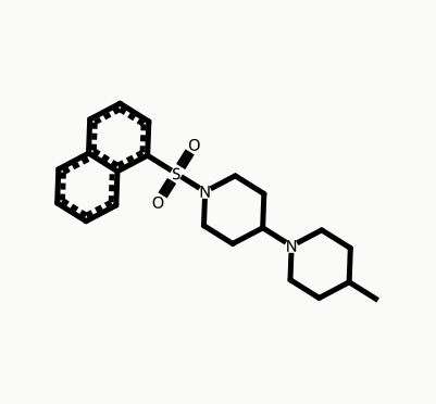 CC1CCN(C2CCN(S(=O)(=O)c3cccc4ccccc34)CC2)CC1